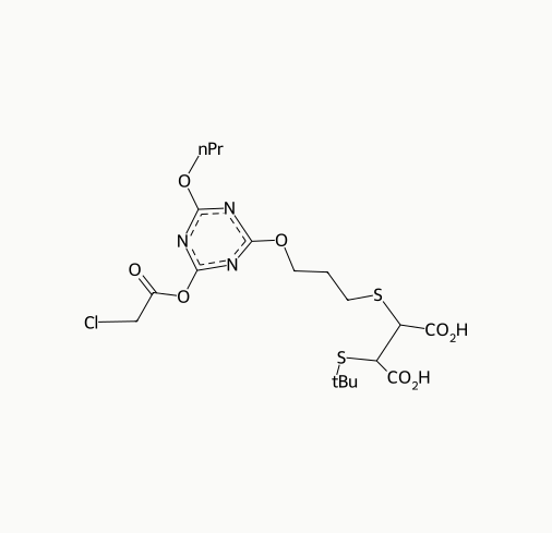 CCCOc1nc(OCCCSC(C(=O)O)C(SC(C)(C)C)C(=O)O)nc(OC(=O)CCl)n1